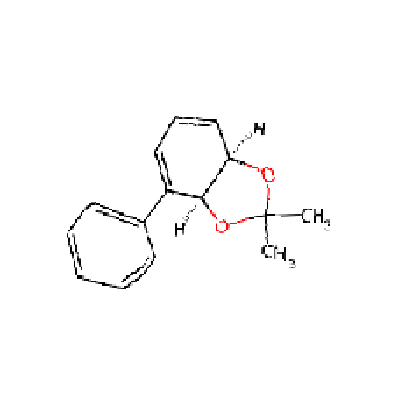 CC1(C)O[C@@H]2C=CC=C(c3ccccc3)[C@@H]2O1